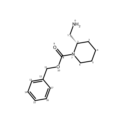 NC[C@@H]1CCCCN1C(=O)OCc1ccccc1